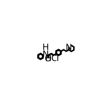 CN1CCCCC1CCc1ccc(C=CC(=O)Nc2ccccc2)cc1.Cl